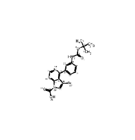 CC(C)(C)OC(=O)Nc1cccc(-c2ncnc3c2c(Br)cn3C(=O)O)c1